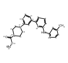 Cc1ccnc(Nc2cccc(-c3ccnc(N4CCN(C(=O)OC(C)(C)C)CC4)c3)n2)c1